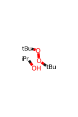 CC(C)(C)OOC(C)(C)C.CC(C)O